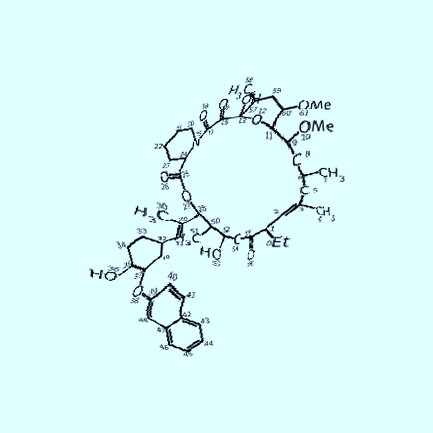 CCC1/C=C(\C)CC(C)CC(OC)C2OC(O)(C(=O)C(=O)N3CCCCC3C(=O)OC(C(C)=CC3CCC(O)C(Oc4ccc5ccccc5c4)C3)C(C)C(O)CC1=O)C(C)CC2OC